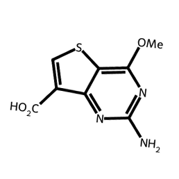 COc1nc(N)nc2c(C(=O)O)csc12